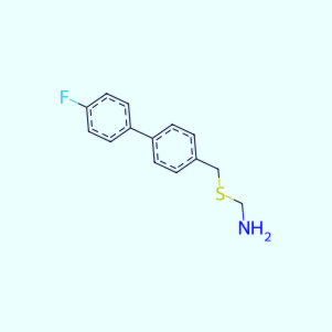 NCSCc1ccc(-c2ccc(F)cc2)cc1